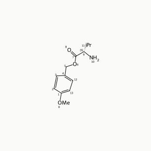 COc1ccc(COC(=O)[C@@H](N)C(C)C)cc1